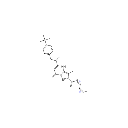 C=C(/N=C\C=C/C)c1nn2c(c1C)NC(C(C)Cc1ccc(C(C)(C)C)cc1)=CC2=C